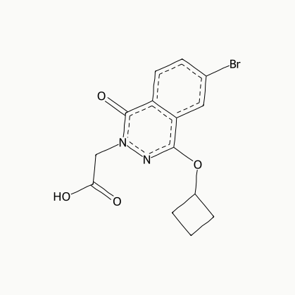 O=C(O)Cn1nc(OC2CCC2)c2cc(Br)ccc2c1=O